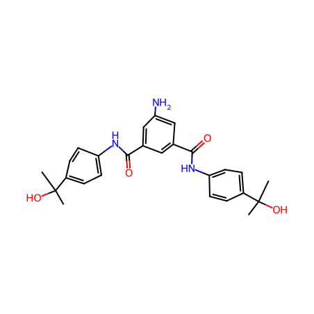 CC(C)(O)c1ccc(NC(=O)c2cc(N)cc(C(=O)Nc3ccc(C(C)(C)O)cc3)c2)cc1